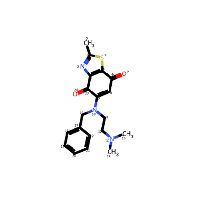 Cc1nc2c(s1)C(=O)C=C(N(CCN(C)C)Cc1ccccc1)C2=O